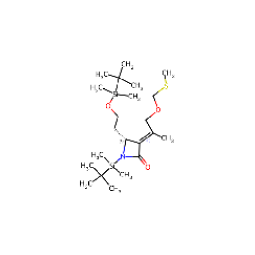 CSCOC/C(C)=C1/C(=O)N([Si](C)(C)C(C)(C)C)[C@@H]1CCO[Si](C)(C)C(C)(C)C